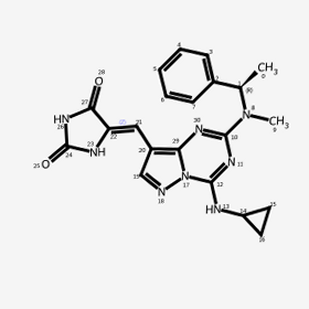 C[C@H](c1ccccc1)N(C)c1nc(NC2CC2)n2ncc(/C=C3\NC(=O)NC3=O)c2n1